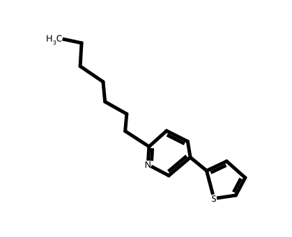 CCCCCCCc1ccc(-c2cccs2)cn1